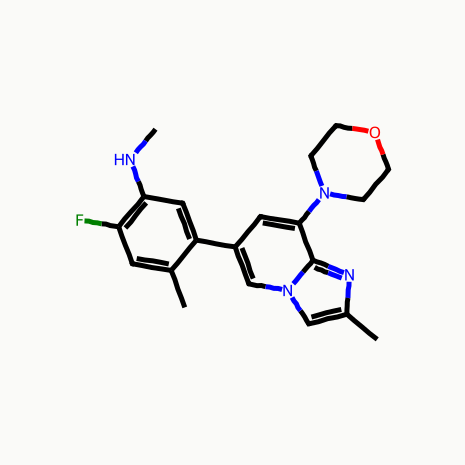 CNc1cc(-c2cc(N3CCOCC3)c3nc(C)cn3c2)c(C)cc1F